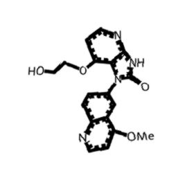 COc1ccnc2ccc(-n3c(=O)[nH]c4nccc(OCCO)c43)cc12